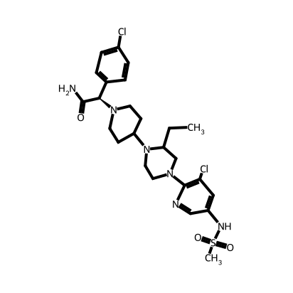 CCC1CN(c2ncc(NS(C)(=O)=O)cc2Cl)CCN1C1CCN([C@@H](C(N)=O)c2ccc(Cl)cc2)CC1